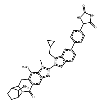 COc1c2c(cc3nc(-c4cc5ccc(-c6ccc(C7NC(=O)NC7=O)cc6)nc5n4CC4CC4)n(C)c13)C(=O)N1C3CCC(C3N)C1C2